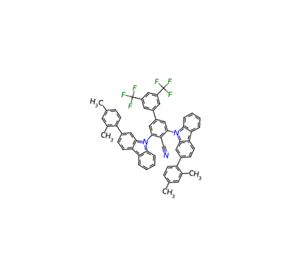 Cc1ccc(-c2ccc3c4ccccc4n(-c4cc(-c5cc(C(F)(F)F)cc(C(F)(F)F)c5)cc(-n5c6ccccc6c6ccc(-c7ccc(C)cc7C)cc65)c4C#N)c3c2)c(C)c1